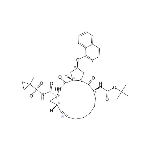 CC(C)(C)OC(=O)N[C@H]1CCCCC/C=C\[C@@H]2C[C@@]2(C(=O)NS(=O)(=O)C2(C)CC2)NC(=O)[C@@H]2C[C@@H](Oc3nccc4ccccc34)CN2C1=O